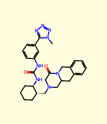 Cn1nnnc1-c1cccc(NC(=O)N[C@@H]2CCCC[C@H]2CN2CC(=O)N3Cc4ccccc4CC3C2)c1